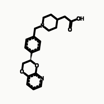 O=C(O)CC1CCN(Cc2ccc([C@H]3COc4cccnc4O3)cc2)CC1